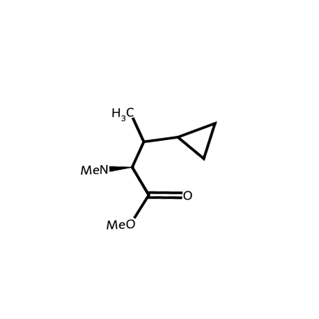 CN[C@H](C(=O)OC)C(C)C1CC1